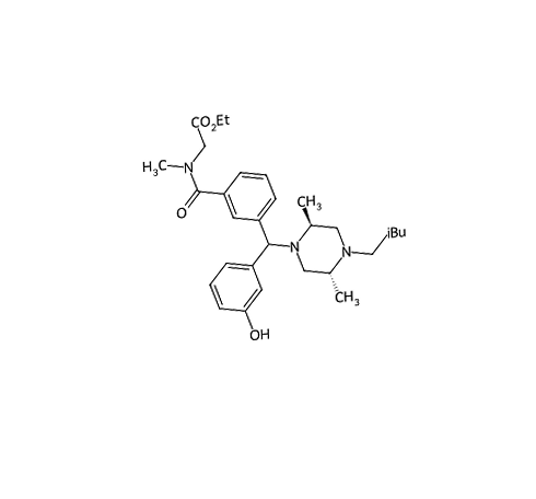 CCOC(=O)CN(C)C(=O)c1cccc(C(c2cccc(O)c2)N2C[C@@H](C)N(CC(C)CC)C[C@@H]2C)c1